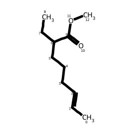 C/C=C/CCCC(CC)C(=O)OC